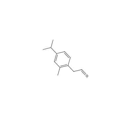 Cc1cc(C(C)C)ccc1CC=O